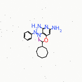 Nc1cc(OC(I)C2CCCCCCC2)c(/N=N/c2ccccc2)c(N)n1